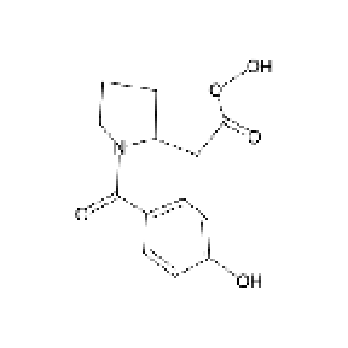 O=C(CC1CCCN1C(=O)c1ccc(O)cc1)OO